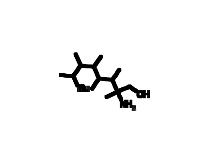 CCC(C)C(C)C(C)C(C)C(C)C(C)C(C)(N)CO